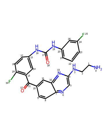 NCCNc1cnc2ccc(C(=O)c3cc(NC(=O)Nc4cccc(F)c4)ccc3F)cc2n1